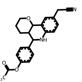 CC(=O)Oc1ccc(C2Nc3ccc(CC#N)cc3C3OCCCC23)cc1